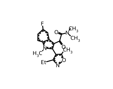 CCc1noc(C)c1-c1c(C(=O)C(=O)N(C)C)c2cc(F)ccc2n1C